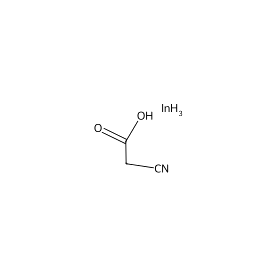 N#CCC(=O)O.[InH3]